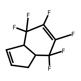 FC1=C(F)C(F)(F)C2CC=CC2C1(F)F